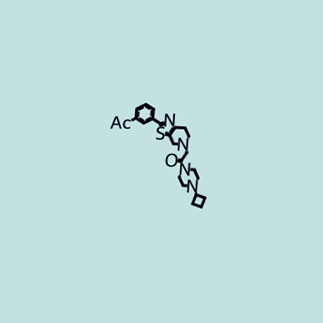 CC(=O)c1cccc(-c2nc3c(s2)CN(CC(=O)N2CCN(C4CCC4)CC2)CC3)c1